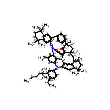 CCCCC(C)(C)c1cc(N2c3cc4c5cc3B3c6c2cc(C)cc6N2c6cc7c(cc6-c6ccc(cc6)C6(C)CCC(C)(CC5(C)CCC4(C)C)c4c6oc2c43)C(C)(CC)CCC7(C)C)ccc1CC